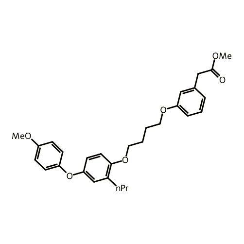 CCCc1cc(Oc2ccc(OC)cc2)ccc1OCCCCOc1cccc(CC(=O)OC)c1